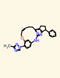 Cc1ncn(-c2ccc3cc2OC/C=C\CCc2nc(nc4c2CCC4c2ccccc2)N3)n1